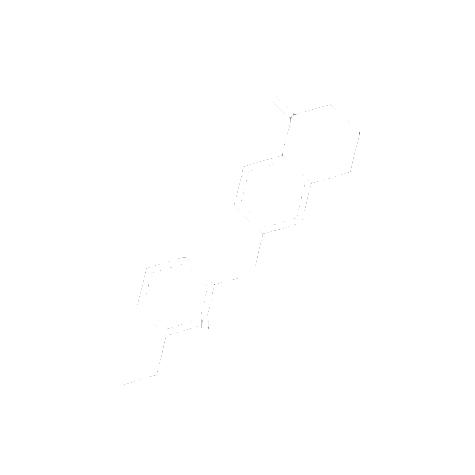 O=C1CCCc2cc(Oc3cccc(CF)n3)ccc21